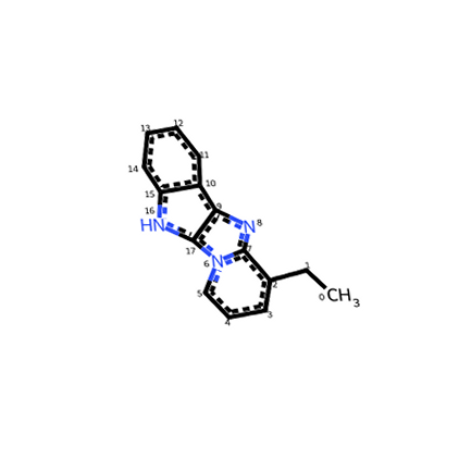 CCc1cccn2c1nc1c3ccccc3[nH]c12